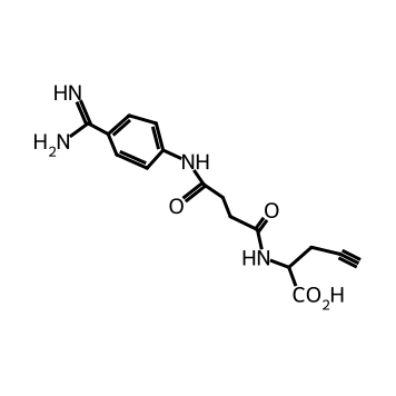 C#CCC(NC(=O)CCC(=O)Nc1ccc(C(=N)N)cc1)C(=O)O